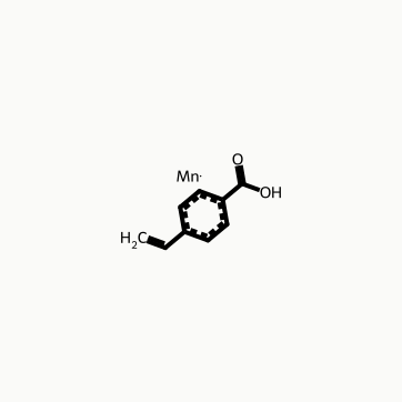 C=Cc1ccc(C(=O)O)cc1.[Mn]